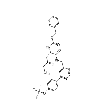 CCC(=O)C[C@H](NC(=O)OCc1ccccc1)C(=O)NCc1cc(-c2ccc(OC(F)(F)F)cc2)ncn1